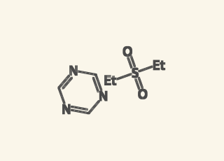 CCS(=O)(=O)CC.c1ncncn1